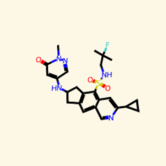 Cn1ncc(NC2Cc3cc4cnc(C5CC5)cc4c(S(=O)(=O)NCC(C)(C)F)c3C2)cc1=O